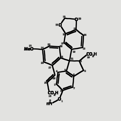 CCCOc1ccc2c(c1)CC(C(=O)O)C2(c1ccc2c(c1)OCO2)c1ccc(OC)cc1/C=C/C(=O)O